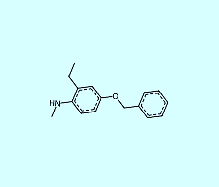 CCc1cc(OCc2ccccc2)ccc1NC